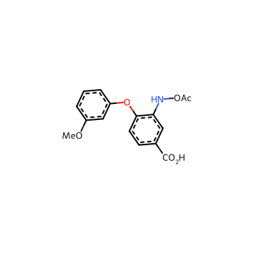 COc1cccc(Oc2ccc(C(=O)O)cc2NOC(C)=O)c1